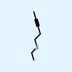 [CH2]CSCCC#CC